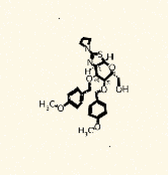 COc1ccc(CO[C@@H]2[C@H]3N=C(N4CCC4)S[C@H]3O[C@H](CO)[C@H]2OCc2ccc(OC)cc2)cc1